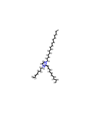 CCCCCCCCCCCCCCCCCn1cc[n+](CCCCCCCC)c1CCCCCCCCCC